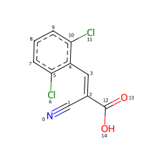 N#C/C(=C\c1c(Cl)cccc1Cl)C(=O)O